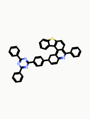 C1=CC(c2ccc(-c3nc(-c4ccccc4)nc(-c4ccccc4)n3)cc2)Cc2c1nc(-c1ccccc1)c1ccc3sc4ccccc4c3c21